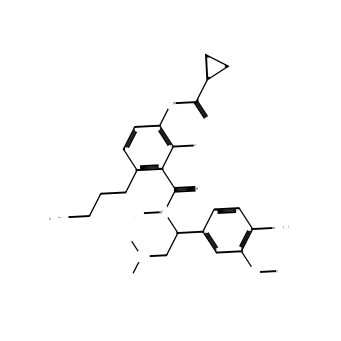 CCCCCCCCCCCCCc1ccc(NC(=O)C2CC2)c(C=O)c1C(=O)N(C)C(C[S+](C)[O-])c1ccc(OC)c(OCC)c1